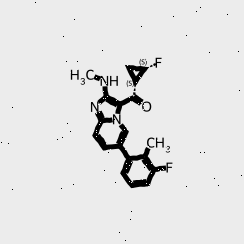 CNc1nc2ccc(-c3cccc(F)c3C)cn2c1C(=O)[C@@H]1C[C@@H]1F